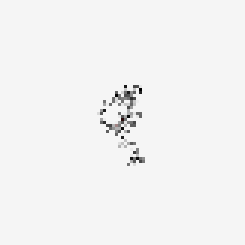 CC1(CN=O)CCCCC2CCC[C@@H](CCC(CCC3CC3)C2)C1